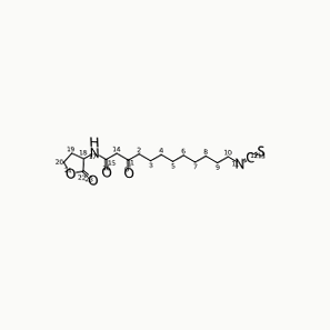 O=C(CCCCCCCCCN=C=S)CC(=O)NC1CCOC1=O